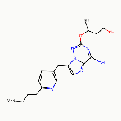 CCCC(CCO)Oc1nc(N)c2ncc(Cc3ccc(CCCNC)nc3)n2n1